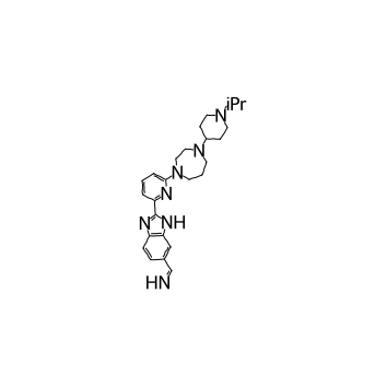 CC(C)N1CCC(N2CCCN(c3cccc(-c4nc5ccc(C=N)cc5[nH]4)n3)CC2)CC1